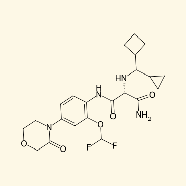 NC(=O)[C@@H](NC(C1CCC1)C1CC1)C(=O)Nc1ccc(N2CCOCC2=O)cc1OC(F)F